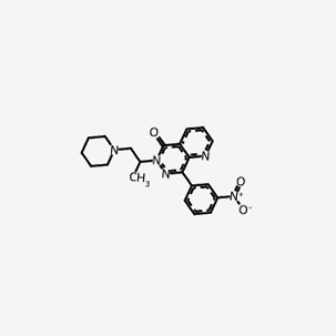 CC(CN1CCCCC1)n1nc(-c2cccc([N+](=O)[O-])c2)c2ncccc2c1=O